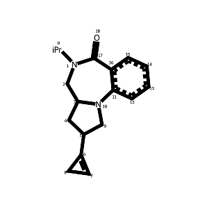 CC(C)N1CC2CC(C3=CC3)CN2c2ccccc2C1=O